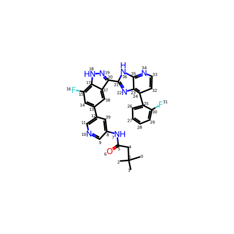 CC(C)(C)CC(=O)Nc1cncc(-c2cc(F)c3[nH]nc(-c4nc5c(-c6ccccc6F)ccnc5[nH]4)c3c2)c1